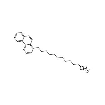 [CH2]CCCCCCCCCCCc1cccc2c1ccc1ccccc12